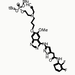 C#CCN(CCCOc1cc2ncnc(Nc3cc(CC(=O)Nc4cccc(F)c4F)[nH]n3)c2cc1OC)CCOP(=O)(OC(C)(C)C)OC(C)(C)C